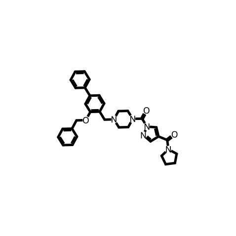 O=C(c1cnn(C(=O)N2CCN(Cc3ccc(-c4ccccc4)cc3OCc3ccccc3)CC2)c1)N1CCCC1